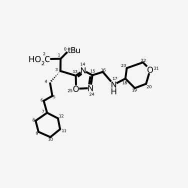 CC(C)(C)C(C(=O)O)[C@@H](CCCC1CCCCC1)c1nc(CNC2CCOCC2)no1